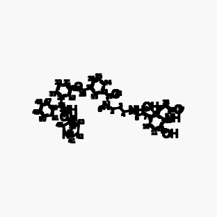 CN(CCCNC[C@H](O)c1ccc(O)c2[nH]c(=O)ccc12)C(=O)c1cccc(COc2cccc([C@@H](NO[C@H]3CN4CCC3CC4)c3ccccc3)c2)c1